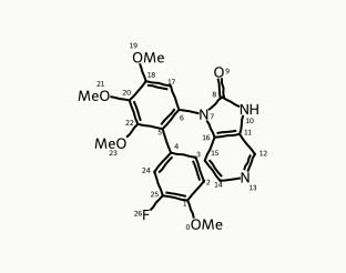 COc1ccc(-c2c(-n3c(=O)[nH]c4cnccc43)cc(OC)c(OC)c2OC)cc1F